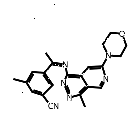 C/C(=N/c1nnc(C)c2cnc(N3CCOCC3)cc12)c1cc(C)cc(C#N)c1